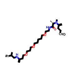 C=C(CCOCCCOCCCCCOCCNC(=O)[C@H](C)N(C)C(=C)CCC=O)NCC(C)C(C)C